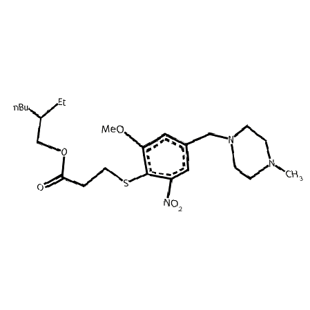 CCCCC(CC)COC(=O)CCSc1c(OC)cc(CN2CCN(C)CC2)cc1[N+](=O)[O-]